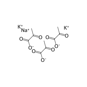 CC(=O)C(=O)[O-].CC(=O)C(=O)[O-].CC(=O)C(=O)[O-].[K+].[K+].[Na+]